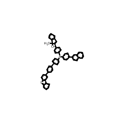 CC1(C)C(c2ccc(N(c3ccc(-c4ccc(-c5ccc6sc7ccccc7c6c5)cc4)cc3)c3ccc(-c4ccc5ccccc5c4)cc3)cc2)=Cc2ccccc21